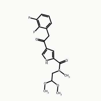 COC(CN(C)C(=O)c1cc(C(=O)Cc2cccc(F)c2F)c[nH]1)OC